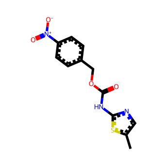 Cc1cnc(NC(=O)OCc2ccc([N+](=O)[O-])cc2)s1